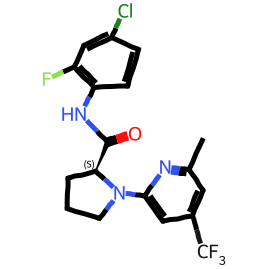 Cc1cc(C(F)(F)F)cc(N2CCC[C@H]2C(=O)Nc2ccc(Cl)cc2F)n1